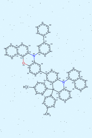 Cc1ccc(C2(c3ccc(C)cc3)c3ccccc3N(c3cccc4ccccc34)c3ccc(-c4ccc5c(c4)N(c4cccc(-c6ccccc6)c4)c4ccc6ccccc6c4O5)cc32)cc1